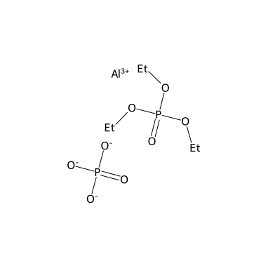 CCOP(=O)(OCC)OCC.O=P([O-])([O-])[O-].[Al+3]